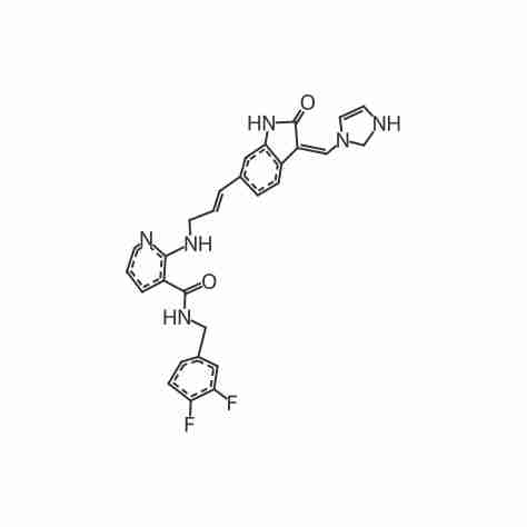 O=C1Nc2cc(/C=C/CNc3ncccc3C(=O)NCc3ccc(F)c(F)c3)ccc2/C1=C/N1C=CNC1